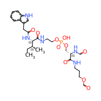 CC[C@H](C)[C@H](NC(=O)Cc1c[nH]c2ccccc12)C(=O)NCCOP(=O)(O)OC[C@H](NC=O)C(=O)NCCCOC=O